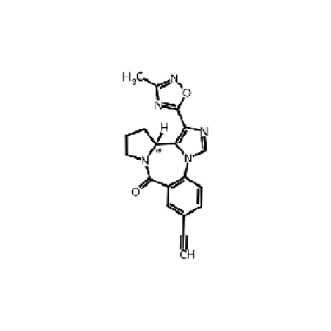 C#Cc1ccc2c(c1)C(=O)N1CCC[C@@H]1c1c(-c3nc(C)no3)ncn1-2